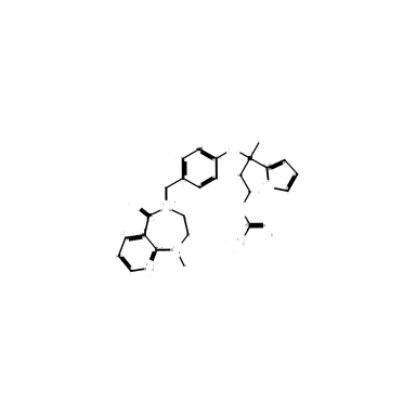 CN1CCN(Cc2ccc(OC(C)(CCOC(N)=O)c3cccs3)cc2)C(=O)c2cccnc21